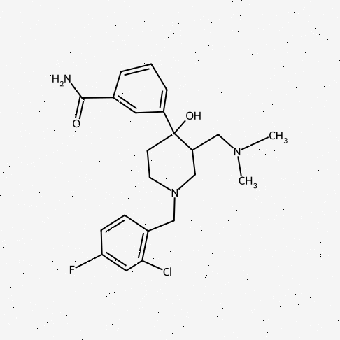 CN(C)CC1CN(Cc2ccc(F)cc2Cl)CCC1(O)c1cccc(C(N)=O)c1